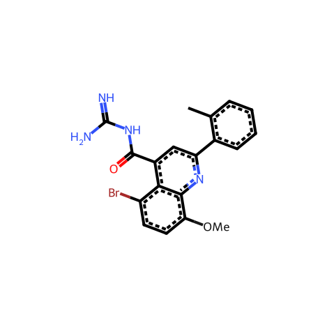 COc1ccc(Br)c2c(C(=O)NC(=N)N)cc(-c3ccccc3C)nc12